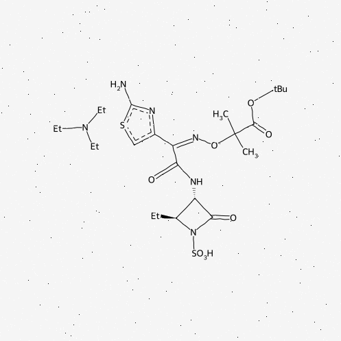 CCN(CC)CC.CC[C@H]1[C@H](NC(=O)C(=NOC(C)(C)C(=O)OC(C)(C)C)c2csc(N)n2)C(=O)N1S(=O)(=O)O